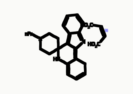 CCCN1CCC2(CC1)NC1=CC=CCC1=C1N=c3ccccc3=C12.O=C(O)/C=C\C(=O)O